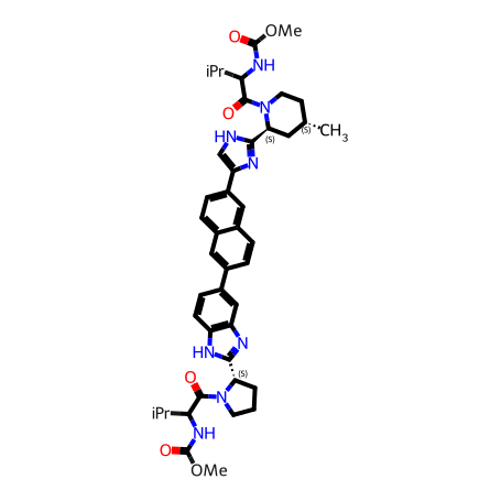 COC(=O)NC(C(=O)N1CC[C@H](C)C[C@H]1c1nc(-c2ccc3cc(-c4ccc5[nH]c([C@@H]6CCCN6C(=O)C(NC(=O)OC)C(C)C)nc5c4)ccc3c2)c[nH]1)C(C)C